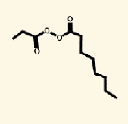 CCCCCCCC(=O)OOC(=O)CC